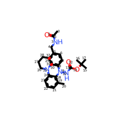 CC(=O)NCc1ccc(N(NC(=O)OC(C)(C)C)c2c(C)cccc2N2CCCCC2)cc1